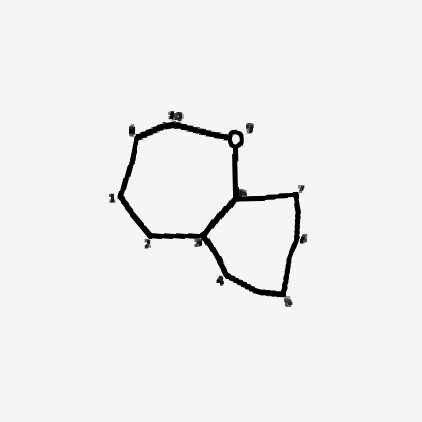 C1CCC2CCCCC2OC1